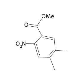 COC(=O)c1cc(C)c(C)cc1[N+](=O)[O-]